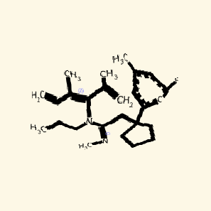 C=C/C(C)=C(/C(=C)C)N(CCC)/C(CC1(c2cc(C)cc(F)c2)CCCC1)=N\C